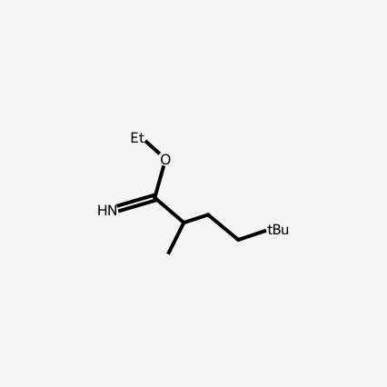 CCOC(=N)C(C)CCC(C)(C)C